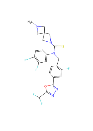 CN1CC2(C1)CN(C(=S)N(Cc1ccc(-c3nnc(C(F)F)o3)cc1F)c1ccc(F)c(F)c1)C2